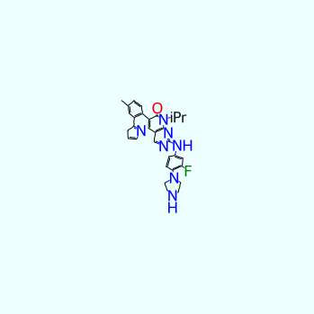 Cc1ccc(-c2cc3cnc(Nc4ccc(N5CCNCC5)c(F)c4)nc3n(C(C)C)c2=O)c(C2=NC=CC2)c1